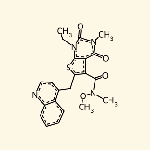 CCn1c(=O)n(C)c(=O)c2c(C(=O)N(C)OC)c(Cc3ccnc4ccccc34)sc21